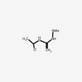 C=C(NNC)NC(C)Cl